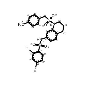 O=S(=O)(Nc1ccc2c(c1)N(S(=O)(=O)Cc1ccc(C(F)(F)F)cc1)CCC2)c1ccc(F)cc1F